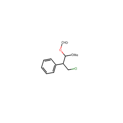 COC(O[C]=O)C(CCl)c1ccccc1